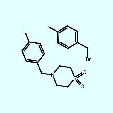 BrCc1ccc(I)cc1.O=S1(=O)CCN(Cc2ccc(I)cc2)CC1